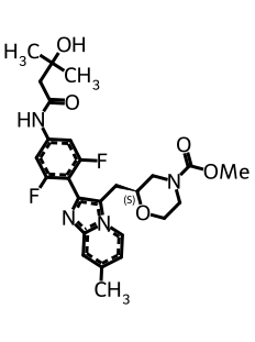 COC(=O)N1CCO[C@@H](Cc2c(-c3c(F)cc(NC(=O)CC(C)(C)O)cc3F)nc3cc(C)ccn23)C1